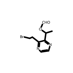 CC(OC=O)c1nccnc1CCBr